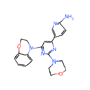 Nc1ccc(-c2cc(N3CCOc4ccccc43)nc(N3CCOCC3)n2)cn1